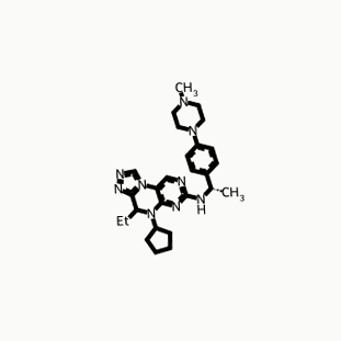 CCC1c2nncn2-c2cnc(N[C@@H](C)c3ccc(N4CCN(C)CC4)cc3)nc2N1C1CCCC1